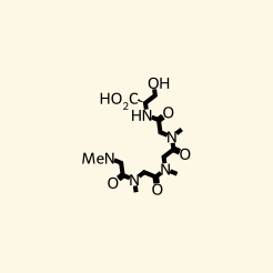 CNCC(=O)N(C)CC(=O)N(C)CC(=O)N(C)CC(=O)N[C@@H](CO)C(=O)O